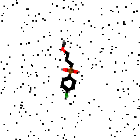 CCOCCCS(=O)(=O)c1ccc(Br)cc1